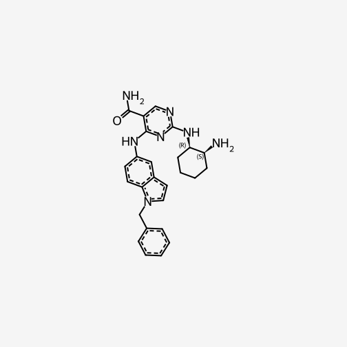 NC(=O)c1cnc(N[C@@H]2CCCC[C@@H]2N)nc1Nc1ccc2c(ccn2Cc2ccccc2)c1